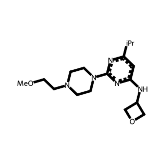 COCCN1CCN(c2nc(NC3COC3)cc(C(C)C)n2)CC1